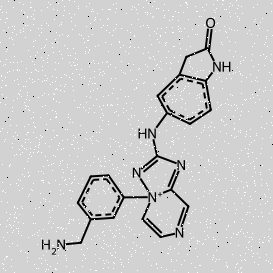 NCc1cccc([N+]23C=CN=CC2=NC(Nc2ccc4c(c2)CC(=O)N4)=N3)c1